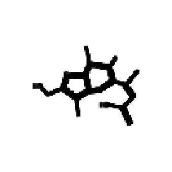 C=C(O)/C=C(/C)c1cc2c(C)c(CO)oc2c(C)c1C